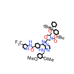 COc1ccc(CNc2nccn3c(C4CN(C(=O)OC(C)(C)C)C(CO[Si](c5ccccc5)(c5ccccc5)C(C)(C)C)CO4)nc(-c4ccc(C(=O)Nc5cc(C(F)(F)F)ccn5)cc4)c23)c(OC)c1